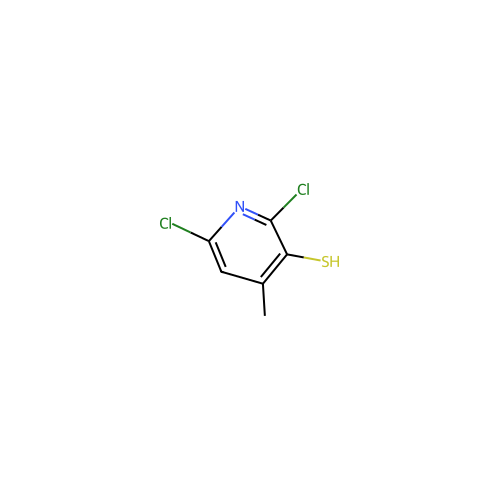 Cc1cc(Cl)nc(Cl)c1S